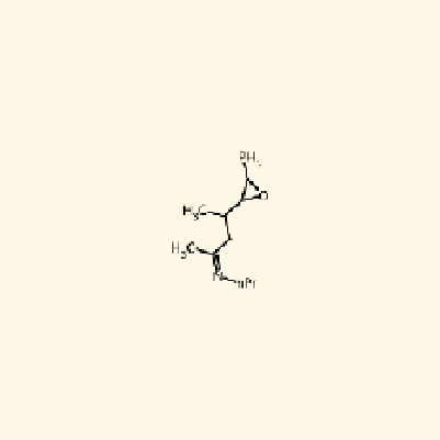 CCC/N=C(/C)CC(C)C1OC1P